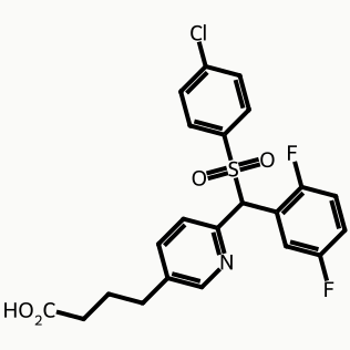 O=C(O)CCCc1ccc(C(c2cc(F)ccc2F)S(=O)(=O)c2ccc(Cl)cc2)nc1